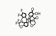 O=C1c2c(O)c(=O)ccn2N([C@H]2c3ccc(F)c(F)c3CN3c4c(cccc42)OCC3(F)F)[C@@H]2COCCN12